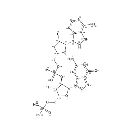 Nc1nc2c(ncn2[C@@H]2O[C@H](COP(=O)(O)S)[C@H](F)[C@H]2OP(=O)(S)OC[C@@H]2C[C@H](F)[C@H](N3NNc4c(N)ncnc43)O2)c(=O)[nH]1